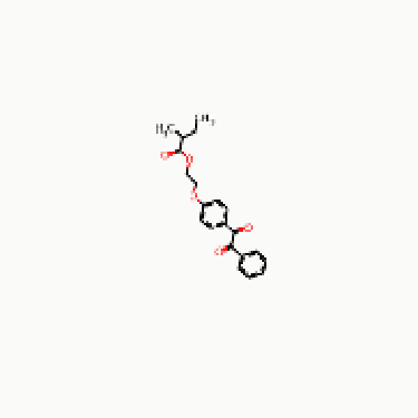 CCC(C)C(=O)OCCOc1ccc(C(=O)C(=O)c2ccccc2)cc1